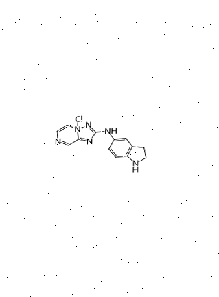 Cl[N+]12C=CN=CC1=NC(Nc1ccc3c(c1)CCN3)=N2